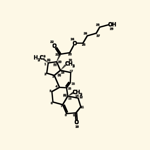 C[C@H]1CC2C3CCC4=CC(=O)CC[C@]4(C)C3=CC[C@]2(C)[C@H]1C(=O)COCCCCO